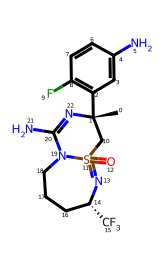 C[C@@]1(c2cc(N)ccc2F)CS2(=O)=N[C@H](C(F)(F)F)CCCN2C(N)=N1